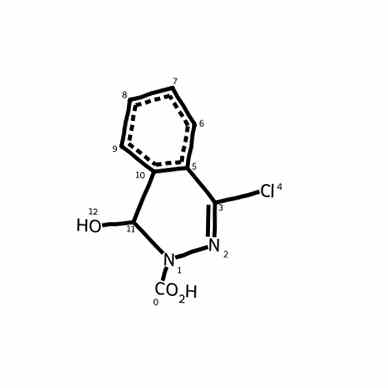 O=C(O)N1N=C(Cl)c2ccccc2C1O